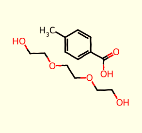 Cc1ccc(C(=O)O)cc1.OCCOCCOCCO